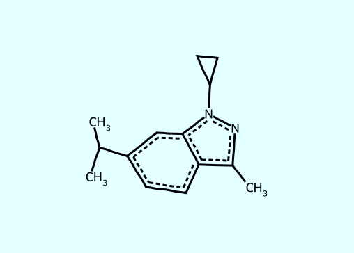 Cc1nn(C2CC2)c2cc(C(C)C)ccc12